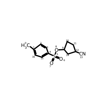 Cc1ccc(S(=O)(=O)OC2CCC(C#N)C2)cc1